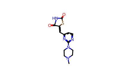 CN1CCN(c2nccc(/C=C3\SC(=O)NC3=O)n2)CC1